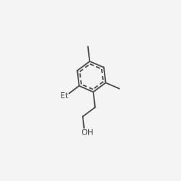 CCc1cc(C)cc(C)c1CCO